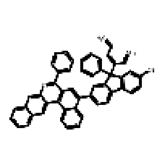 C=C/C=C(\C=C)C1(c2ccccc2)c2cc(C#N)ccc2-c2ccc(-c3cc4c(-c5ccccc5)nc5cc6ccccc6cc5c4c4ccccc34)cc21